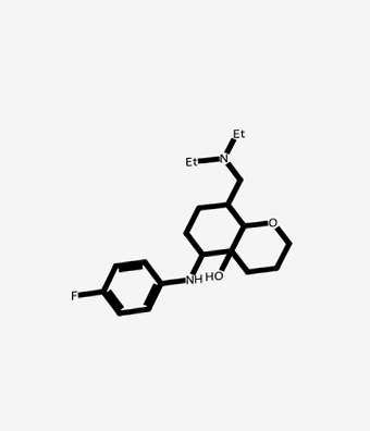 CCN(CC)CC1CCC(Nc2ccc(F)cc2)C2(O)CCCOC12